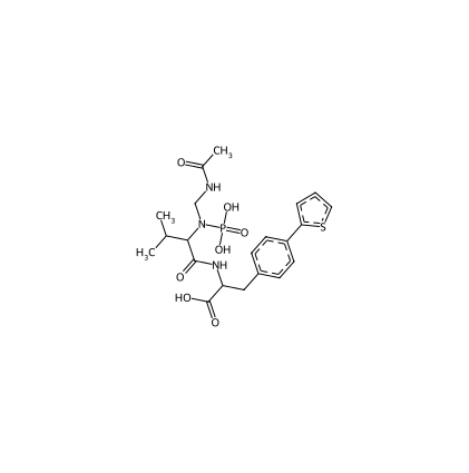 CC(=O)NCN(C(C(=O)NC(Cc1ccc(-c2cccs2)cc1)C(=O)O)C(C)C)P(=O)(O)O